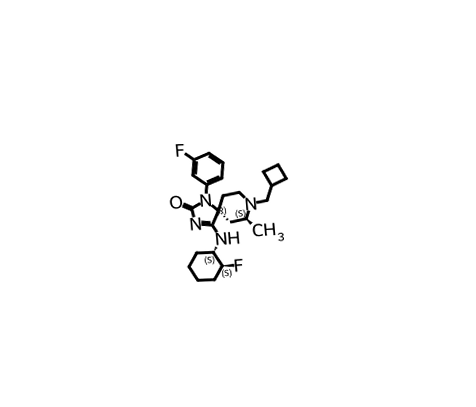 C[C@H]1C[C@]2(CCN1CC1CCC1)C(N[C@H]1CCCC[C@@H]1F)=NC(=O)N2c1cccc(F)c1